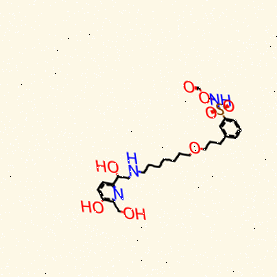 O=CONS(=O)(=O)c1cccc(CCCOCCCCCCCNCC(O)c2ccc(O)c(CO)n2)c1